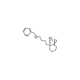 CC1(CCCCOCc2ccccc2)CCCCC1=O